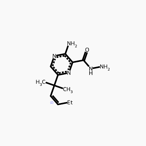 CC/C=C\C(C)(C)c1cnc(N)c(C(=O)NN)n1